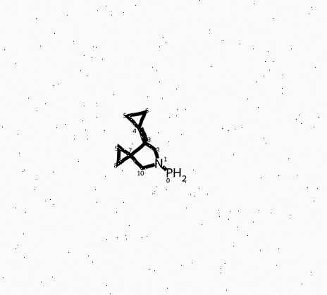 PN1CC(=C2CC2)C2(CC2)C1